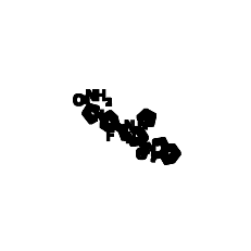 C[C@@H]1c2ccccc2CCN1C(=O)c1cc(N2CCCC2)c2nc(-c3ccc(N4CC[C@H](C(N)=O)C4)cc3F)cn2c1